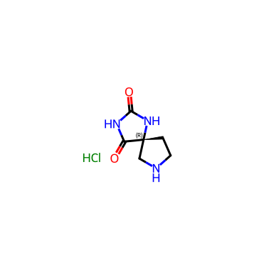 Cl.O=C1NC(=O)[C@]2(CCNC2)N1